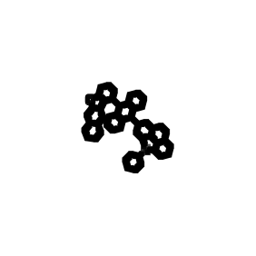 c1ccc(-n2c3cccc4ccc5cc(-c6c7ccccc7c(-c7cccc8oc9cc%10ccccc%10cc9c78)c7ccccc67)cc2c5c43)cc1